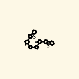 Cc1ccc(-c2ccc3c(c2)sc2ccccc23)cc1-c1cccc(-c2cccc(-c3cc(-c4ccc5c(c4)sc4ccccc45)ccc3C)c2)c1